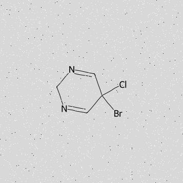 ClC1(Br)C=NCN=C1